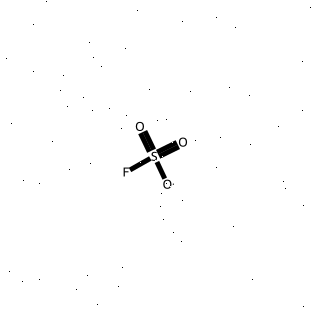 [O]S(=O)(=O)F